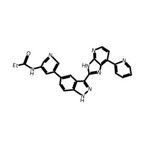 CCC(=O)Nc1cncc(-c2ccc3[nH]nc(-c4nc5c(-c6ccccn6)ccnc5[nH]4)c3c2)c1